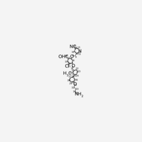 Cc1c(COc2cc(OCc3cncc(C#N)c3)c(C=O)cc2Cl)cccc1-c1cccc(OCCCN)c1